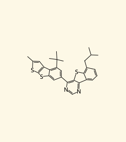 Cc1cc2c(s1)sc1cc(-c3ncnc4c3sc3c(CC(C)C)cccc34)cc(C(C)(C)C)c12